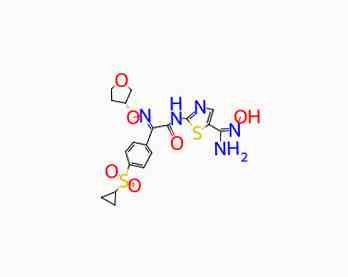 N/C(=N/O)c1cnc(NC(=O)/C(=N/O[C@@H]2CCOC2)c2ccc(S(=O)(=O)C3CC3)cc2)s1